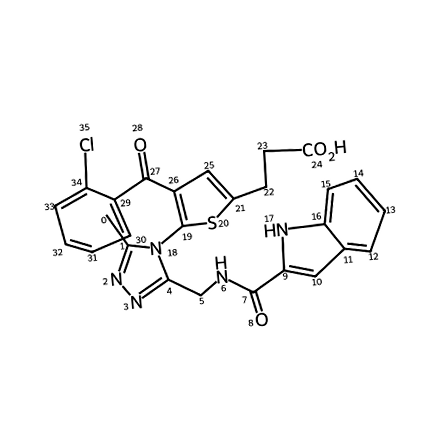 Cc1nnc(CNC(=O)c2cc3ccccc3[nH]2)n1-c1sc(CCC(=O)O)cc1C(=O)c1ccccc1Cl